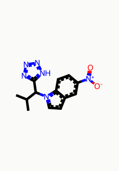 CC(C)C(c1nnn[nH]1)n1ccc2cc([N+](=O)[O-])ccc21